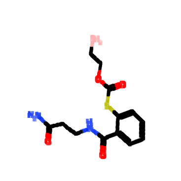 BCCOC(=O)Sc1ccccc1C(=O)NCCC(N)=O